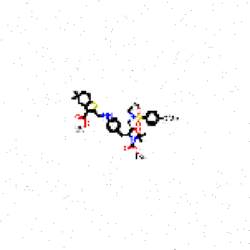 COc1ccc(S(=O)(=O)N(CC(C)C)C[C@H]2OC(C)(C)N(C(=O)OC(C)(C)C)[C@H]2Cc2ccc(NCc3sc4c(c3C(=O)OC(C)(C)C)CC(C)(C)CC4)cc2)cc1